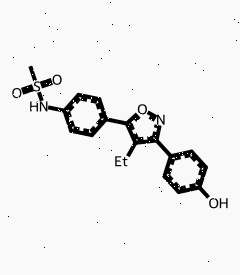 CCc1c(-c2ccc(O)cc2)noc1-c1ccc(NS(C)(=O)=O)cc1